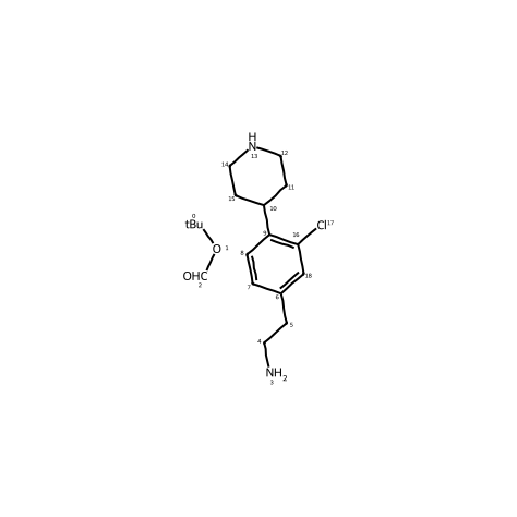 CC(C)(C)OC=O.NCCc1ccc(C2CCNCC2)c(Cl)c1